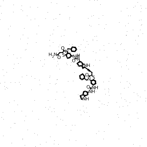 NC(=O)CC1Sc2ccc(NC(=O)Nc3ccc4cc(C#CCC5Sc6ccc(NC(=O)Nc7ccc8cc[nH]c8c7)cc6N(Cc6ccccc6)C5=O)[nH]c4c3)cc2N(Cc2ccccc2)C1=O